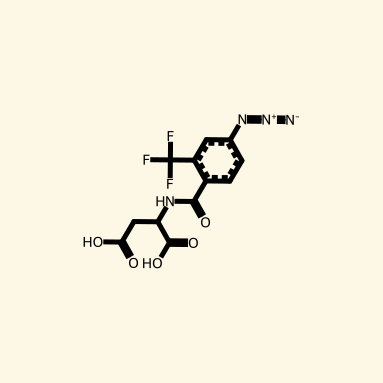 [N-]=[N+]=Nc1ccc(C(=O)NC(CC(=O)O)C(=O)O)c(C(F)(F)F)c1